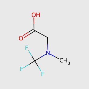 CN(CC(=O)O)C(F)(F)F